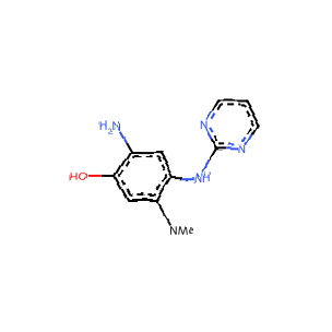 CNc1cc(O)c(N)cc1Nc1ncccn1